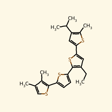 CCc1cc(-c2cc(C(C)C)c(C)s2)sc1-c1ccc(-c2scc(C)c2C)s1